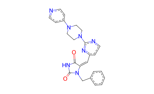 O=C1NC(=O)N(Cc2ccccc2)C1=Cc1ccnc(N2CCN(c3ccncc3)CC2)n1